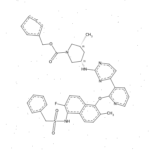 Cc1ccc2c(NS(=O)(=O)Cc3ccccc3)c(F)ccc2c1Oc1ncccc1-c1ccnc(N[C@H]2C[C@@H](C)CN(C(=O)OCc3ccccc3)C2)n1